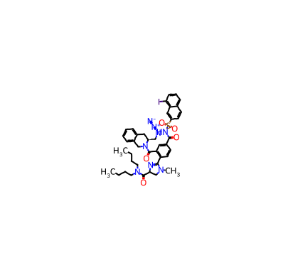 CCCCN(CCCC)C(=O)C1CN(C)C(c2ccc(C(=O)NS(=O)(=O)c3ccc4cccc(I)c4c3)cc2C(=O)N2Cc3ccccc3C[C@H]2CN=[N+]=[N-])=N1